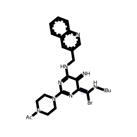 CCC(C)N/C(Br)=C1/N=C(N2CCN(C(C)=O)CC2)N=C(NCc2cnc3ccccc3c2)C1=N